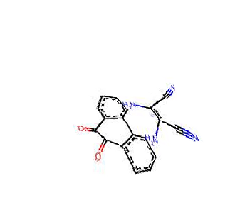 N#C/C(N)=C(/N)C#N.O=C1C(=O)c2ccccc2-c2ccccc21